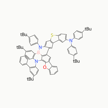 CC(C)(C)c1ccc(N2B3c4cc(C(C)(C)C)ccc4N(c4ccc(C(C)(C)C)cc4-c4ccccc4)c4c3c(cc3c4oc4ccccc43)-c3cc4c(cc32)sc2ccc(N(c3ccc(C(C)(C)C)cc3)c3ccc(C(C)(C)C)cc3)cc24)cc1